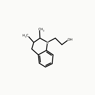 CC1Cc2ccccc2N(CCO)C1C